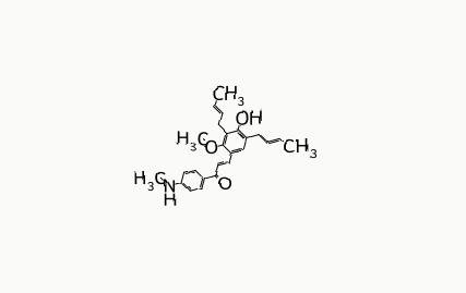 C/C=C/Cc1cc(/C=C/C(=O)c2ccc(NC)cc2)c(OC)c(C/C=C/C)c1O